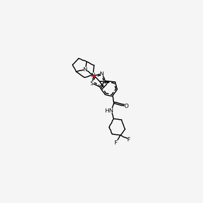 O=C(NC1CCC(F)(F)CC1)c1ccc2nc(N3C4CCC3CN(C3CC3)C4)sc2c1